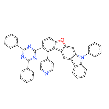 c1ccc(-c2nc(-c3ccccc3)nc(-c3ccc4oc5cc6c(cc5c4c3-c3ccncc3)c3ccccc3n6-c3ccccc3)n2)cc1